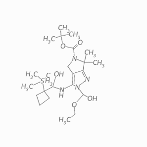 CCOC(O)n1nc2c(c1NC(O)C1(S(C)(C)C)CCC1)CN(C(=O)OC(C)(C)C)C2(C)C